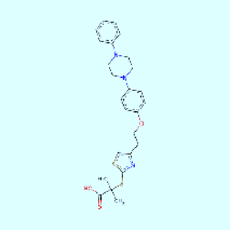 CC(C)(Sc1nc(CCOc2ccc(N3CCN(c4ccccc4)CC3)cc2)cs1)C(=O)O